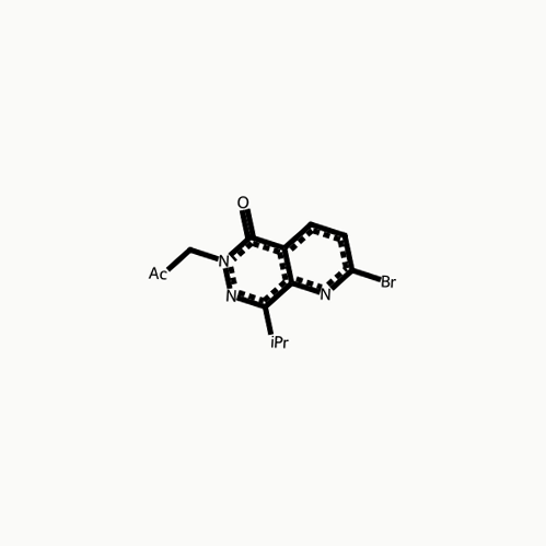 CC(=O)Cn1nc(C(C)C)c2nc(Br)ccc2c1=O